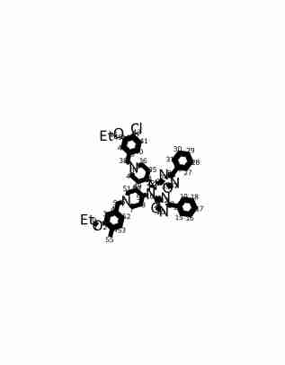 CCOc1cc(CN2CCC(N(c3nc(-c4ccccc4)no3)N(c3nc(-c4ccccc4)no3)C3CCN(Cc4ccc(Cl)c(OCC)c4)CC3)CC2)ccc1C